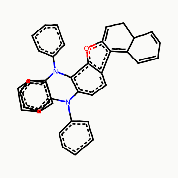 C1=CC2=c3c(oc4c(N(c5ccccc5)c5ccccc5)c(N(c5ccccc5)c5ccccc5)ccc34)=CCC2C=C1